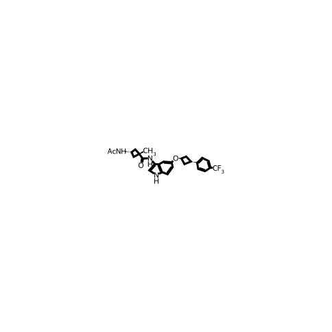 CC(=O)N[C@H]1C[C@@](C)(C(=O)Nc2c[nH]c3ccc(O[C@H]4C[C@@H](c5ccc(C(F)(F)F)cc5)C4)cc23)C1